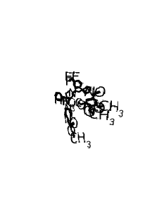 CCOC(=O)CN1CCN(C(=O)NC2(c3ccccc3)CCN(CCC3(c4ccc(C(F)(F)F)cc4)CCN(C(=O)c4cc(OC)c(OC)c(OC)c4)C3)CC2)CC1